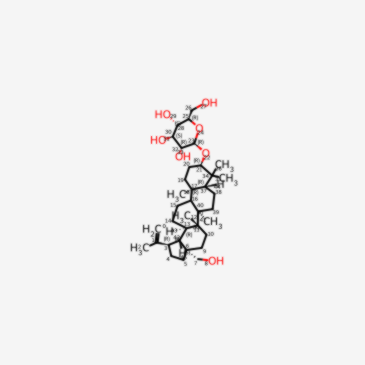 C=C(C)[C@@H]1CC[C@]2(CO)CC[C@]3(C)[C@H](CCC4[C@@]5(C)CC[C@@H](O[C@@H]6O[C@H](CO)[C@@H](O)[C@H](O)[C@H]6O)C(C)(C)[C@@H]5CC[C@]43C)[C@@H]12